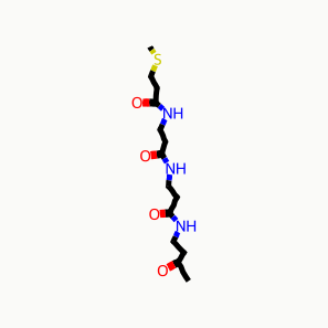 CSCCC(=O)NCCC(=O)NCCC(=O)NCCC(C)=O